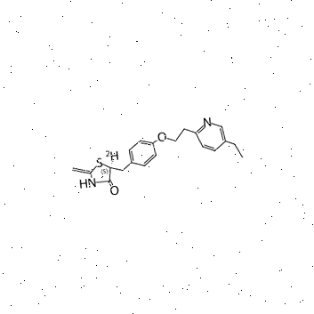 [2H][C@@]1(Cc2ccc(OCCc3ccc(CC)cn3)cc2)SC(=C)NC1=O